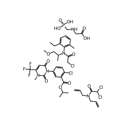 C=CCN(CC=C)C(=O)C(Cl)Cl.CC(C)OC(=O)c1cc(-n2c(=O)cc(C(F)(F)F)n(C)c2=O)ccc1Cl.CCc1cccc(C)c1N(C(=O)CCl)C(C)COC.O=C(O)CNCP(=O)(O)O